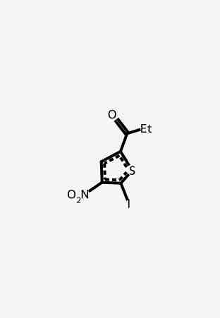 CCC(=O)c1cc([N+](=O)[O-])c(I)s1